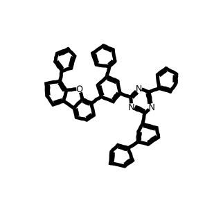 c1ccc(-c2cccc(-c3nc(-c4ccccc4)nc(-c4cc(-c5ccccc5)cc(-c5cccc6c5oc5c(-c7ccccc7)cccc56)c4)n3)c2)cc1